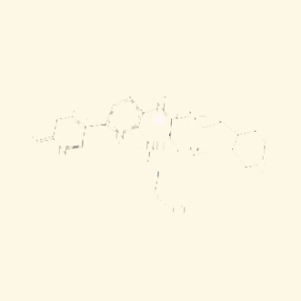 CCCOCCNc1nc(C2=CCC(=O)N=C2)ccc1/N=C(\COC)NCCC1CCOCC1